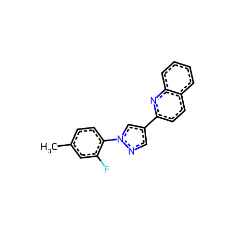 Cc1ccc(-n2cc(-c3ccc4ccccc4n3)cn2)c(F)c1